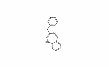 C1=NC(Cc2ccccc2)=CNc2ccccc21